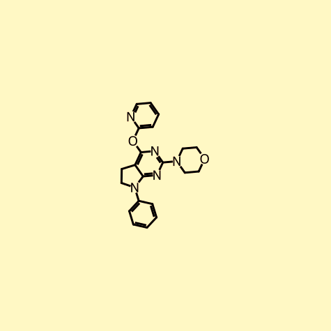 c1ccc(N2CCc3c(Oc4ccccn4)nc(N4CCOCC4)nc32)cc1